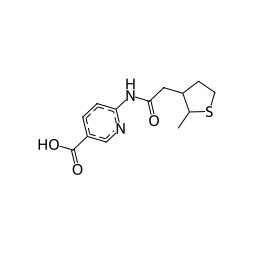 CC1SCCC1CC(=O)Nc1ccc(C(=O)O)cn1